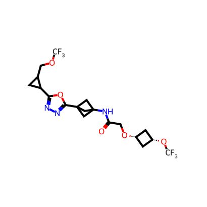 O=C(CO[C@H]1C[C@@H](OC(F)(F)F)C1)NC12CC(c3nnc(C4CC4COC(F)(F)F)o3)(C1)C2